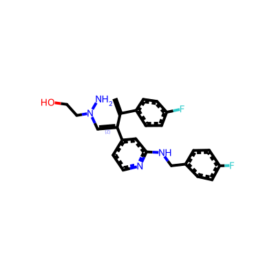 C=C(/C(=C\N(N)CCO)c1ccnc(NCc2ccc(F)cc2)c1)c1ccc(F)cc1